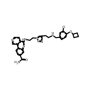 NC(=O)c1ccc2c(c1)nc(NCCn1cc(CCNCc3ccc(OC4CCC4)c(Cl)c3)nn1)c1ccncc12